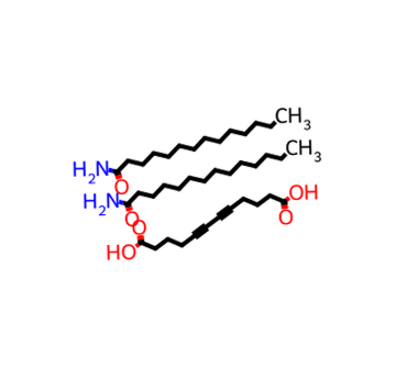 CCCCCCCCCCCCCC(N)=O.CCCCCCCCCCCCCC(N)=O.O=C(O)CCCC#CC#CCCCC(=O)O